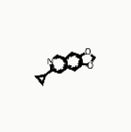 c1nc(C2CC2)cc2cc3c(cc12)OCO3